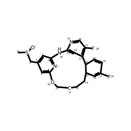 C[S+]([O-])Cc1cc2nc(c1)OCCCCC1C=C(F)C=CC1c1cc(ncc1F)N2